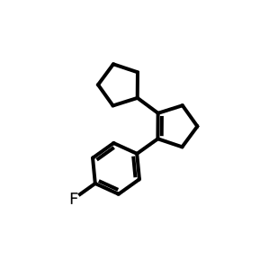 Fc1ccc(C2=C(C3CCCC3)CCC2)cc1